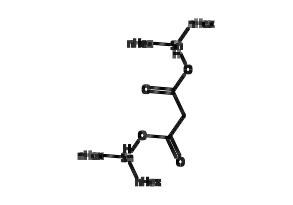 CCCCC[CH2][SnH]([CH2]CCCCC)[O]C(=O)CC(=O)[O][SnH]([CH2]CCCCC)[CH2]CCCCC